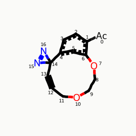 CC(=O)c1ccc2cc1OCCOCC#CC21N=N1